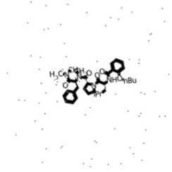 CCCCOc1ccccc1C(=O)N[C@H](CC(C)C)C(=O)N1CCC[C@@H]1C(=O)N(C)[C@@H](Cc1ccccc1)C(=O)N(C)C